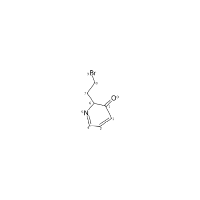 O=C1C=CC=NC1CCBr